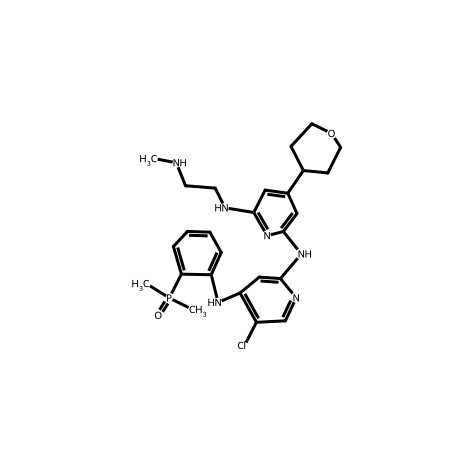 CNCCNc1cc(C2CCOCC2)cc(Nc2cc(Nc3ccccc3P(C)(C)=O)c(Cl)cn2)n1